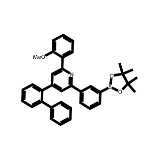 COc1ccccc1-c1cc(-c2ccccc2-c2ccccc2)cc(-c2cccc(B3OC(C)(C)C(C)(C)O3)c2)n1